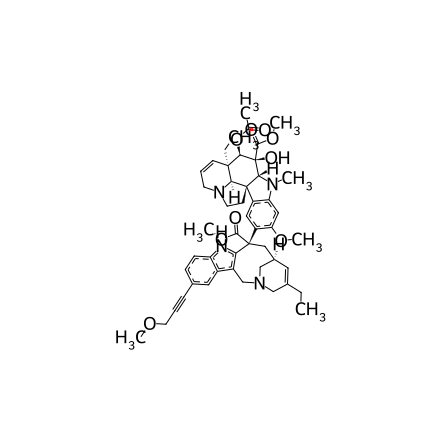 CCC1=C[C@H]2CN(C1)Cc1c([nH]c3ccc(C#CCOC)cc13)[C@@](C(=O)OC)(c1cc3c(cc1OC)N(C)[C@H]1[C@@](O)(C(=O)OC)[C@H](OC(C)=O)[C@]4(CC)C=CCN5CC[C@]31[C@@H]54)C2